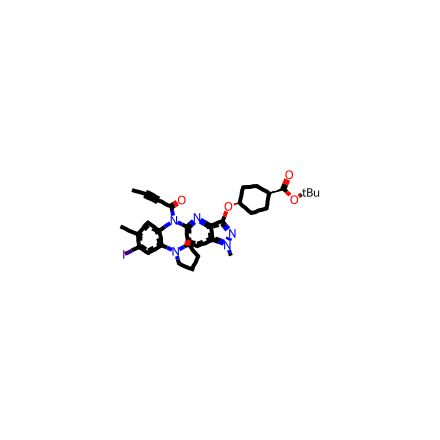 CC#CC(=O)N(c1ccc2c(n1)c(O[C@H]1CC[C@H](C(=O)OC(C)(C)C)CC1)nn2C)c1cc(C)c(I)cc1N1CCCC1